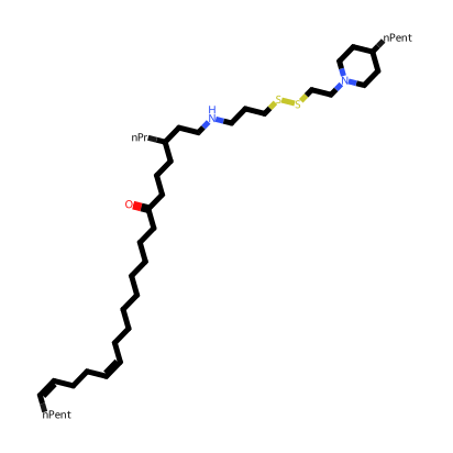 CCCCC/C=C\CC/C=C\CCCCCCCCC(=O)CCCC(CCC)CCNCCCSSCCN1CCC(CCCCC)CC1